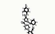 N#Cc1ccccc1N1CCN(C(=O)[C@@H]2C[C@@H](NCc3ccc(F)cc3F)CN2Cc2ccccc2)CC1